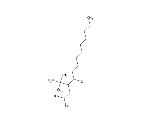 CCCCCCCCCC(Cl)C(CC(C)O)C(C)(C)N